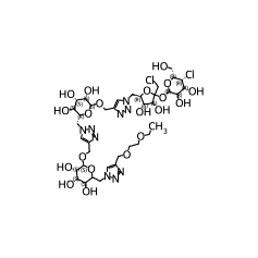 CCOCCOCc1cn(CC2O[C@H](OCc3cn(C[C@H]4O[C@H](OCc5cn(C[C@H]6OC(CCl)(O[C@H]7O[C@H](CO)[C@H](Cl)[C@H](O)[C@H]7O)[C@@H](O)[C@@H]6O)nn5)[C@@H](O)[C@@H](O)[C@@H]4O)nn3)[C@@H](O)[C@@H](O)[C@@H]2O)nn1